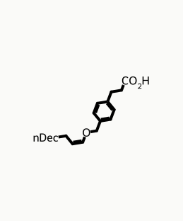 CCCCCCCCCCC/C=C\OCc1ccc(CCC(=O)O)cc1